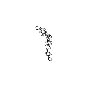 Clc1ccc(CCN2CCN(c3nc(-c4ccc(Cl)cc4)no3)CC2)cc1